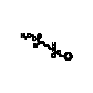 CCOC(=O)C(Br)CCCCNC(=O)OCc1ccccc1